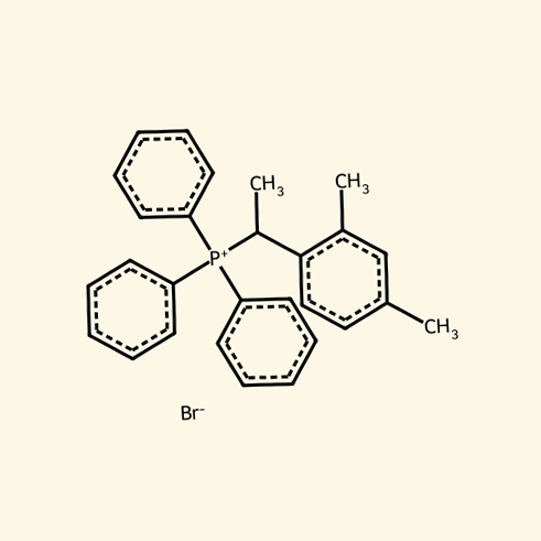 Cc1ccc(C(C)[P+](c2ccccc2)(c2ccccc2)c2ccccc2)c(C)c1.[Br-]